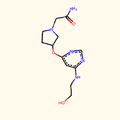 NC(=O)CN1CCC(Oc2cc(NCCO)ncn2)C1